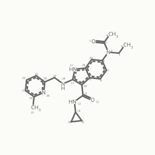 CCN(C(C)=O)c1ccc2c(C(=O)NC3CC3)c(NCc3cccc(C)n3)[nH]c2c1